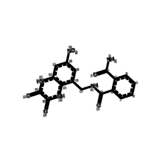 NC(=O)c1ccccc1C(=O)NCc1cc([N+](=O)[O-])cc2[nH]c(=O)c(=O)[nH]c12